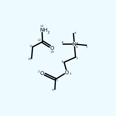 CC(=O)OCC[N+](C)(C)C.CCC(N)=O